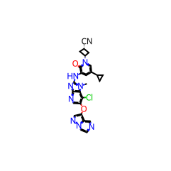 Cn1c(Nc2cc(C3CC3)cn([C@H]3C[C@@H](C#N)C3)c2=O)nc2ncc(Oc3cnn4ccncc34)c(Cl)c21